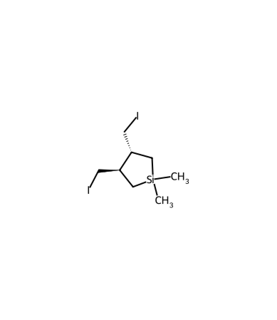 C[Si]1(C)C[C@@H](CI)[C@H](CI)C1